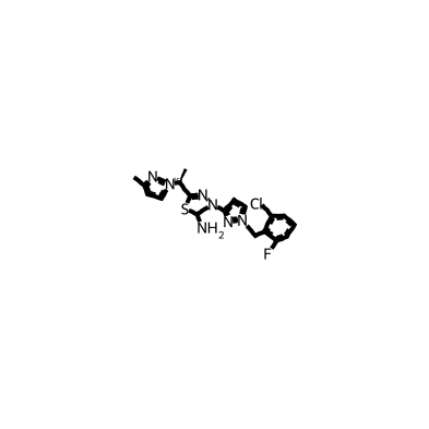 Cc1ccn([C@@H](C)C2=NN(c3ccn(Cc4c(F)cccc4Cl)n3)C(N)S2)n1